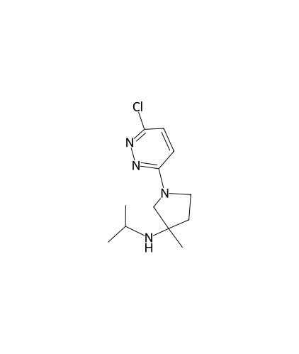 CC(C)NC1(C)CCN(c2ccc(Cl)nn2)C1